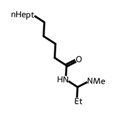 CCCCCCCCCCCC(=O)NC(CC)NC